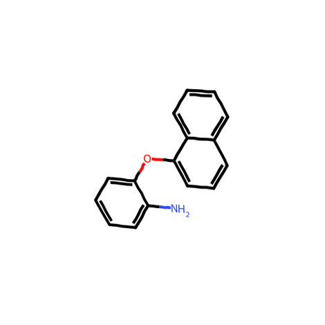 Nc1ccccc1Oc1cccc2ccccc12